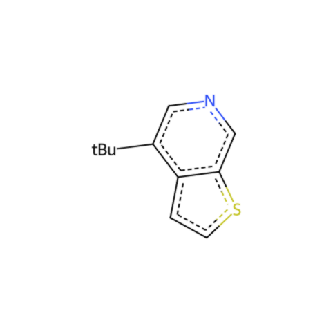 CC(C)(C)c1cncc2sccc12